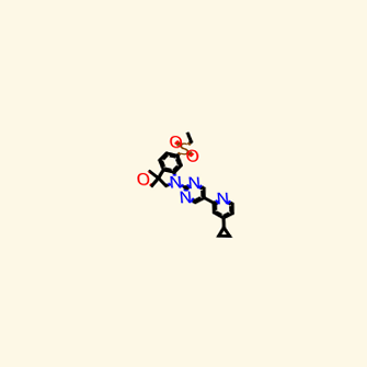 CCS(=O)(=O)c1ccc2c(c1)N(c1ncc(-c3cc(C4CC4)ccn3)cn1)CC21COC1